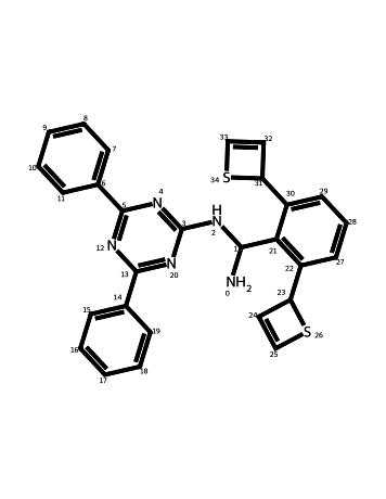 NC(Nc1nc(-c2ccccc2)nc(-c2ccccc2)n1)c1c(C2C=CS2)cccc1C1C=CS1